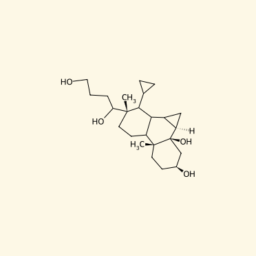 C[C@]1(C(O)CCCO)CCC2C(C3C[C@H]3[C@]3(O)C[C@@H](O)CC[C@]23C)C1C1CC1